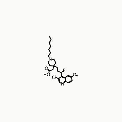 CCCCCCCN1CCC(CC[C@@H](F)c2c(Cl)cnc3ccc(OC)cc23)(CC(=O)O)CC1